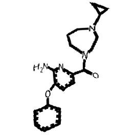 Nc1nc(C(=O)N2CCCN(C3CC3)CC2)ccc1Oc1ccccc1